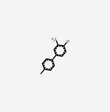 Cc1ccc(-c2ccc(Cl)c(C(F)(F)F)c2)cc1